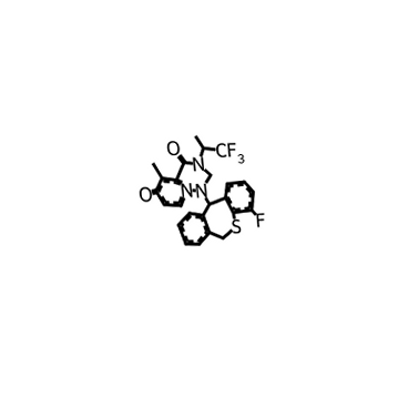 Cc1c2n(ccc1=O)N(C1c3ccccc3CSc3c(F)cccc31)CN(C(C)C(F)(F)F)C2=O